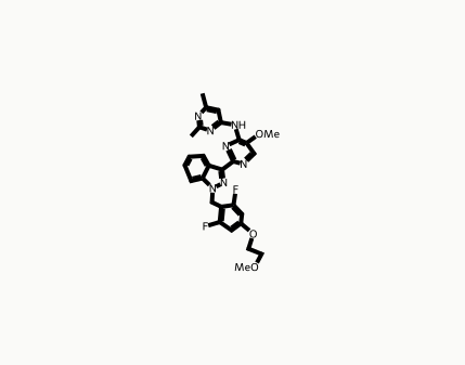 COCCOc1cc(F)c(Cn2nc(-c3ncc(OC)c(Nc4cc(C)nc(C)n4)n3)c3ccccc32)c(F)c1